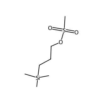 C[Si](C)(C)CCCOS(C)(=O)=O